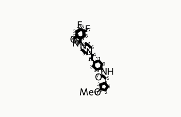 CO[C@@H]1CC[C@@H](CC(=O)N[C@H]2CC[C@H](CCN3CCN(c4noc5cc(F)c(F)cc45)CC3)CC2)C1